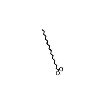 CCCCC/C=C/C/C=C/CCCCCCCC(=O)OC